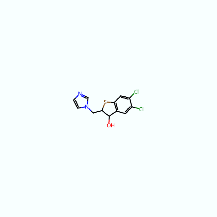 OC1c2cc(Cl)c(Cl)cc2SC1Cn1ccnc1